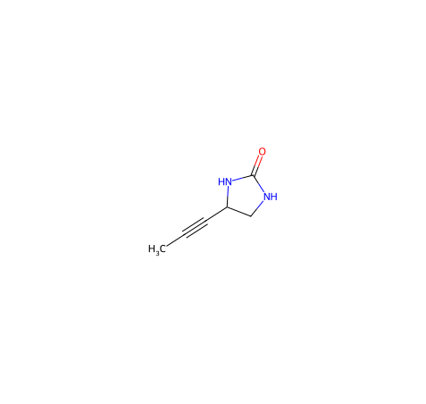 CC#CC1CNC(=O)N1